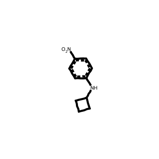 O=[N+]([O-])c1ccc(NC2CCC2)cc1